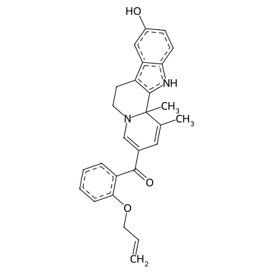 C=CCOc1ccccc1C(=O)C1=CN2CCc3c([nH]c4ccc(O)cc34)C2(C)C(C)=C1